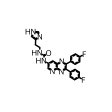 O=C(NCCc1c[nH]cn1)Nc1cnc2nc(-c3ccc(F)cc3)c(-c3ccc(F)cc3)nc2c1